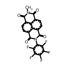 CN1C(=O)c2ccc3c4c(ccc(c24)C1=O)C(=O)N(c1c(F)c(F)c(F)c(F)c1F)C3=O